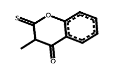 CC1C(=O)c2ccccc2OC1=S